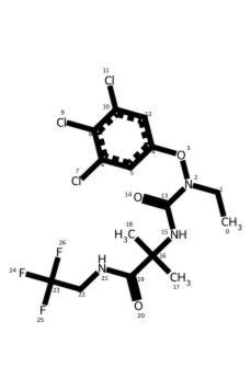 CCN(Oc1cc(Cl)c(Cl)c(Cl)c1)C(=O)NC(C)(C)C(=O)NCC(F)(F)F